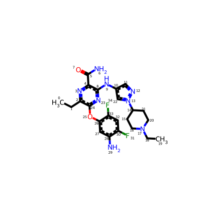 CCc1nc(C(N)=O)c(Nc2cnn(C3CCN(CC)CC3)c2)nc1Oc1cc(N)c(F)cc1F